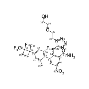 NC(=O)c1cc([N+](=O)[O-])cc(-c2c(F)cc(C(F)(F)C(F)(F)C(F)(F)F)cc2F)c1Sc1nnnn1CCOCCO